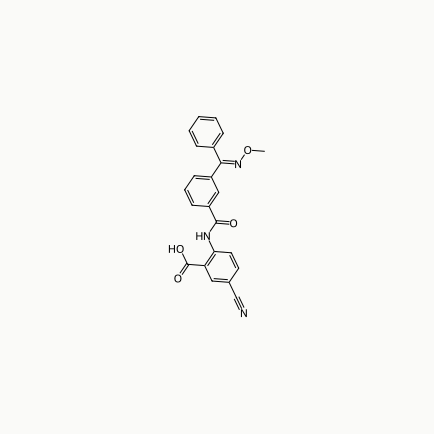 CO/N=C(\c1ccccc1)c1cccc(C(=O)Nc2ccc(C#N)cc2C(=O)O)c1